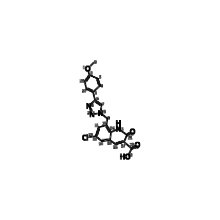 COc1ccc(-c2cn(Cc3cc(Cl)cc4cc(C(=O)O)c(=O)[nH]c34)nn2)cc1